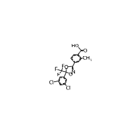 Cc1cc(C2=NOC(c3cc(Cl)cc(Cl)c3)(C(F)(F)F)O2)ccc1C(=O)O